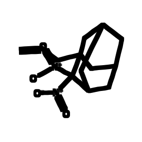 C=CCC12CC3CC(CC(C3)C1([N+](=O)[O-])[N+](=O)[O-])C2